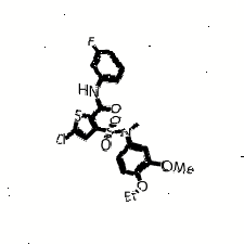 CCOc1ccc(N(C)S(=O)(=O)c2cc(Cl)sc2C(=O)Nc2cccc(F)c2)cc1OC